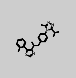 Cc1ccccc1-c1scnc1C(C)Cc1ccc(-n2c(C)nnc2C(C)C)cc1